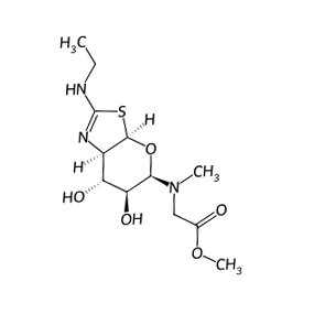 CCNC1=N[C@@H]2[C@@H](O)[C@H](O)[C@H](N(C)CC(=O)OC)O[C@@H]2S1